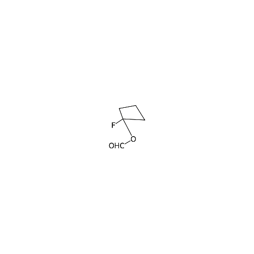 O=COC1(F)CCC1